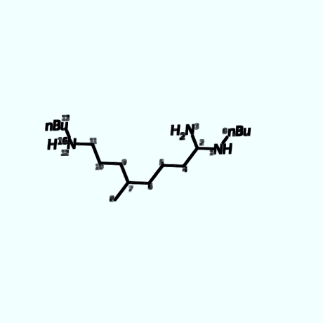 CCCCNC(N)CCCC(C)CCC[16NH]CCCC